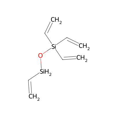 C=C[SiH2]O[Si](C=C)(C=C)C=C